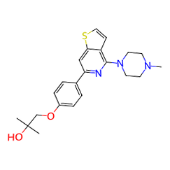 CN1CCN(c2nc(-c3ccc(OCC(C)(C)O)cc3)cc3sccc23)CC1